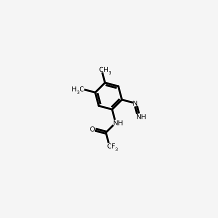 Cc1cc(N=N)c(NC(=O)C(F)(F)F)cc1C